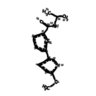 COc1ccc(-c2ccc(C(=O)NC(C)C)s2)cn1